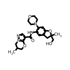 CC1COc2c(C(=O)Nc3cc4c(cc3N3CCOCC3)OC(C)(CO)C4)cnn2C1